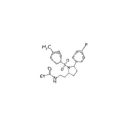 CCC(=O)NCCC1CCC(c2ccc(F)cc2)N1S(=O)(=O)c1ccc(C)cc1